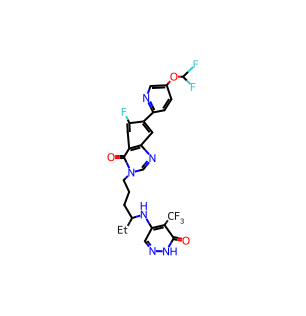 CCC(CCCn1cnc2cc(-c3ccc(OC(F)F)cn3)c(F)cc2c1=O)Nc1cn[nH]c(=O)c1C(F)(F)F